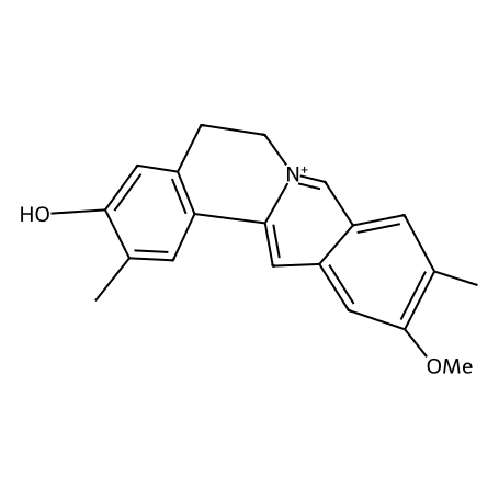 COc1cc2cc3[n+](cc2cc1C)CCc1cc(O)c(C)cc1-3